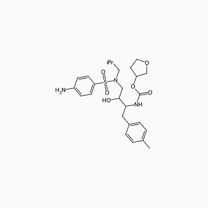 Cc1ccc(CC(NC(=O)OC2CCOC2)C(O)CN(CC(C)C)S(=O)(=O)c2ccc(N)cc2)cc1